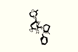 CC1CN(c2cc(=O)[nH]c(N3CC[C@@H](C)[C@@H]3Cc3ccccc3)n2)CCO1